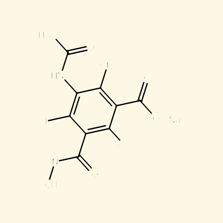 CNC(=O)c1c(I)c(NC(C)=O)c([125I])c(C(=O)[O-])c1[125I].[Na+]